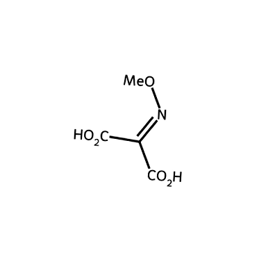 CON=C(C(=O)O)C(=O)O